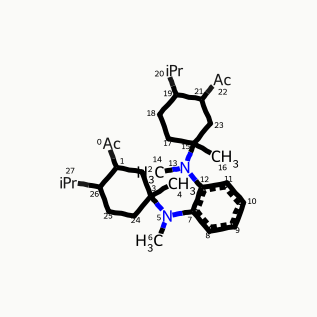 CC(=O)C1CC(C)(N(C)c2ccccc2N(C)C2(C)CCC(C(C)C)C(C(C)=O)C2)CCC1C(C)C